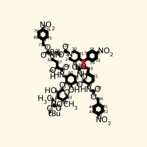 CN(C(=O)OC(C)(C)C)[C@@H]1[C@@H](O)[C@@H](O[C@@H]2[C@@H](O)[C@H](O[C@H]3OC(CNCC4CCN(C(=O)OC(C)(C)C)CC4)=CC[C@H]3NC(=O)OCc3ccc([N+](=O)[O-])cc3)[C@@H](NC(=O)OCc3ccc([N+](=O)[O-])cc3)C[C@H]2NC(=O)[C@H](O)CCNC(=O)OCc2ccc([N+](=O)[O-])cc2)OC[C@]1(C)O